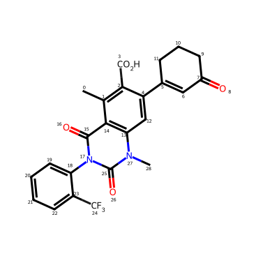 Cc1c(C(=O)O)c(C2=CC(=O)CCC2)cc2c1c(=O)n(-c1ccccc1C(F)(F)F)c(=O)n2C